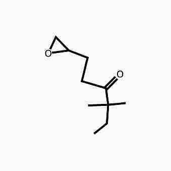 CCC(C)(C)C(=O)CCC1CO1